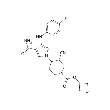 N#CC1CN(C(=O)OC2COC2)CCC1n1cc(C(N)=O)c(Nc2ccc(F)cc2)n1